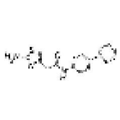 Nc1nc(CC(=O)Nc2ccc(-c3ccccc3)cc2)cs1